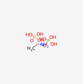 CCN.O=P(O)(O)O.O=P(O)(O)O